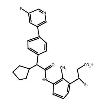 CCC(CC(=O)O)c1cccc(NC(=O)C(c2ccc(-c3cncc(F)c3)cc2)C2CCCC2)c1C